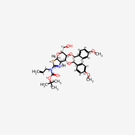 C=CCN(C(=O)OC(C)(C)C)C1=N[C@@H]2[C@@H](OCc3ccc(OC)cc3)[C@H](OCc3ccc(OC)cc3)[C@@H](CO)O[C@@H]2S1